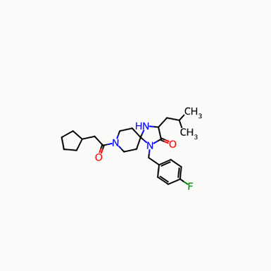 CC(C)CC1NC2(CCN(C(=O)CC3CCCC3)CC2)N(Cc2ccc(F)cc2)C1=O